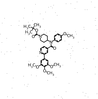 COc1ccc(N(C(=O)c2ccnc(-c3cc(OC)c(OC)c(OC)c3)c2)C2CCN(C(=O)OC(C)(C)C)CC2)cc1